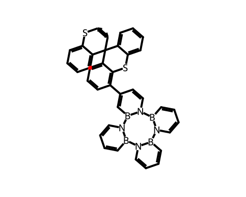 C1=CB2N(C=C1)B1C=CC=CN1B1C=C(c3cccc4c3Sc3ccccc3C43c4ccccc4Sc4ccccc43)C=CN1B1C=CC=CN21